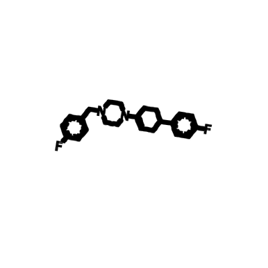 Fc1ccc(CN2CCN(C3=CCC(c4ccc(F)cc4)CC3)CC2)cc1